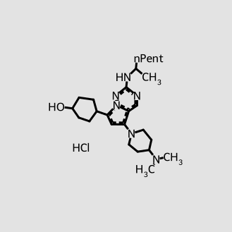 CCCCCC(C)Nc1ncc2c(N3CCC(N(C)C)CC3)cc(C3CCC(O)CC3)n2n1.Cl